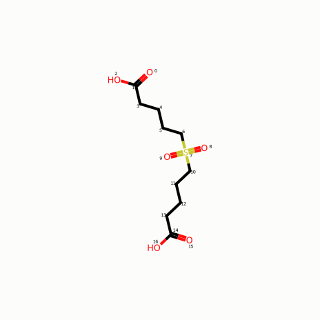 O=C(O)CCCCS(=O)(=O)CCCCC(=O)O